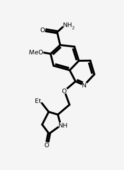 CCC1CC(=O)NC1COc1nccc2cc(C(N)=O)c(OC)cc12